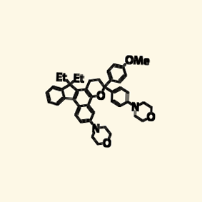 CCC1(CC)c2ccccc2-c2c1c1c(c3cc(N4CCOCC4)ccc23)OC(c2ccc(OC)cc2)(c2ccc(N3CCOCC3)cc2)CC1